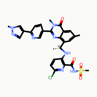 Cc1cc([C@@H](C)Nc2ccc(Cl)nc2C(=O)NS(C)(=O)=O)c2nc(-c3ccc(-c4cnn(C)c4)nc3)n(C)c(=O)c2c1